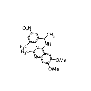 COc1cc2nc(C)nc(NC(C)c3cc([N+](=O)[O-])cc(C(F)(F)F)c3)c2cc1OC